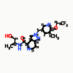 Cc1cc(Cn2cc3c(C(=O)NC(C)CO)nccc3n2)cnc1OCC(F)(F)F